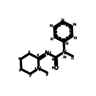 CN1CCCC/C1=N/C(=O)N(C)c1ccccc1